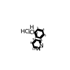 Cl.Cl.c1ccccc1.c1ccnnc1